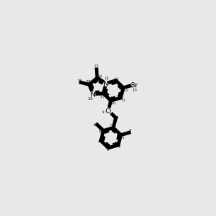 Cc1cccc(C)c1COc1cc(Br)cn2c(C)c(C)nc12